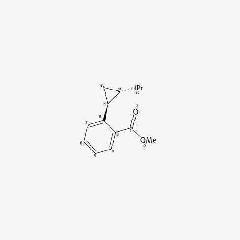 COC(=O)c1ccccc1[C@H]1C[C@@H]1C(C)C